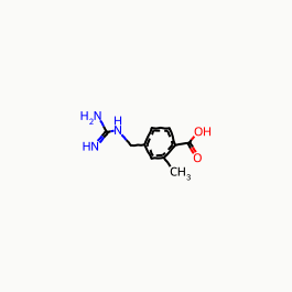 Cc1cc(CNC(=N)N)ccc1C(=O)O